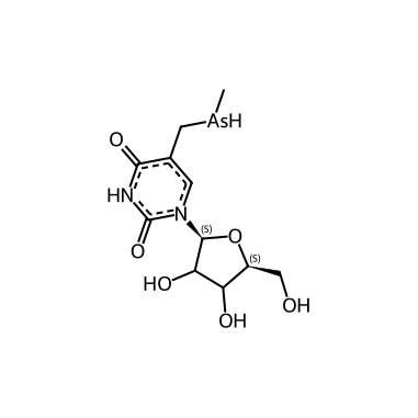 C[AsH]Cc1cn([C@H]2O[C@@H](CO)C(O)C2O)c(=O)[nH]c1=O